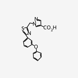 O=C(O)c1cnn(Cc2nc(-c3cccc(Oc4ccccc4)c3)cs2)c1